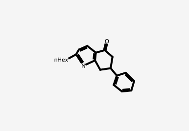 CCCCCCc1ccc2c(n1)CC(c1ccccc1)CC2=O